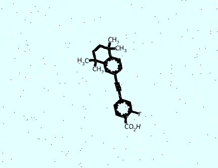 CC1(C)CCC(C)(C)c2cc(C#Cc3ccc(C(=O)O)c(F)c3)ccc21